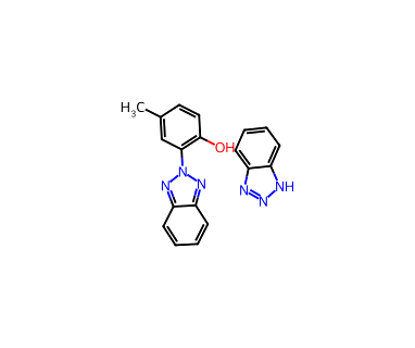 Cc1ccc(O)c(-n2nc3ccccc3n2)c1.c1ccc2[nH]nnc2c1